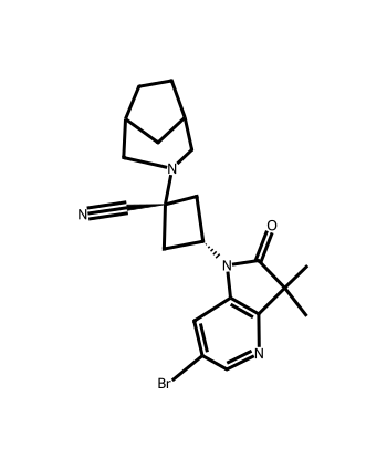 CC1(C)C(=O)N([C@H]2C[C@@](C#N)(N3CC4CCC(C4)C3)C2)c2cc(Br)cnc21